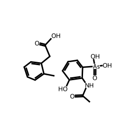 CC(=O)Nc1c(O)cccc1[As](=O)(O)O.Cc1ccccc1CC(=O)O